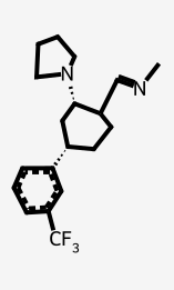 C/N=C/C1CC[C@H](c2cccc(C(F)(F)F)c2)C[C@@H]1N1CCCC1